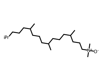 CC(C)CCCC(C)CCCC(C)CCCC(C)CCC[N+](C)(C)[O-]